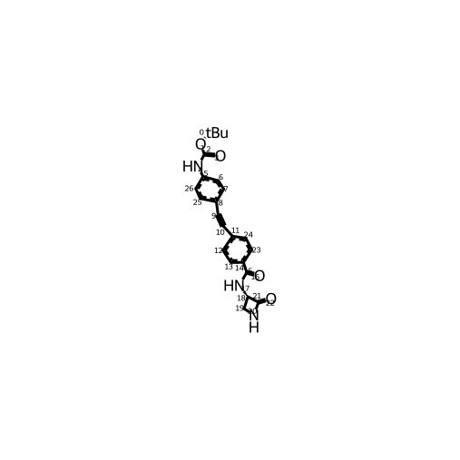 CC(C)(C)OC(=O)Nc1ccc(C#Cc2ccc(C(=O)N[C@@H]3CNC3=O)cc2)cc1